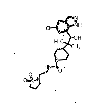 CC(C)(C1CCN(C(=O)NCCN2CCCS2(=O)=O)CC1)[C@H](O)c1cc(Cl)cc2cn[nH]c12